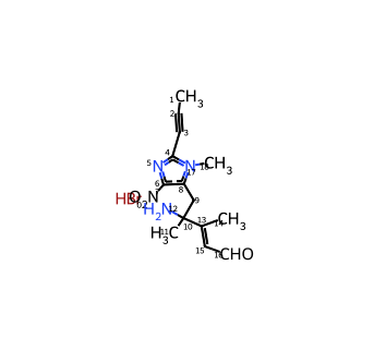 Br.CC#Cc1nc([N+](=O)[O-])c(CC(C)(N)C(C)=CC=O)n1C